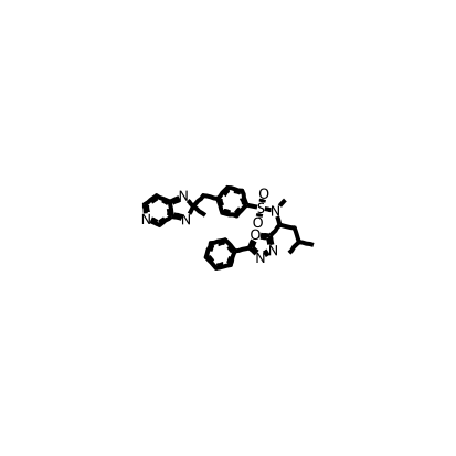 CC(C)CC(c1nnc(-c2ccccc2)o1)N(C)S(=O)(=O)c1ccc(CC2(C)N=c3ccncc3=N2)cc1